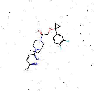 C[C@H]1CC2CN(C(=O)COC3(c4ccc(F)c(F)c4)CC3)CC1N2C(=N)/C=C\C(=N)C#N